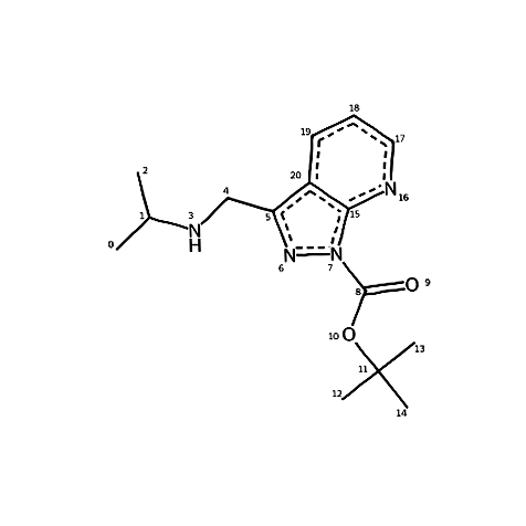 CC(C)NCc1nn(C(=O)OC(C)(C)C)c2ncccc12